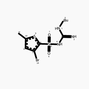 CCC(C)NC(=N)NS(=O)(=O)c1sc(C)cc1Br